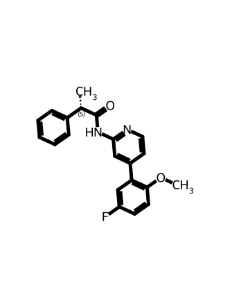 COc1ccc(F)cc1-c1ccnc(NC(=O)[C@@H](C)c2ccccc2)c1